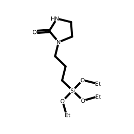 CCO[Si](CCCN1CCNC1=O)(OCC)OCC